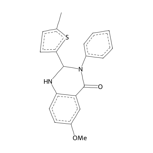 COc1ccc2c(c1)C(=O)N(c1ccccc1)C(c1ccc(C)s1)N2